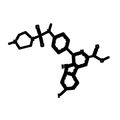 COC(=O)c1cc2c([nH]c3cc(F)ccc32)c(-c2ccc(N(C)S(=O)(=O)N3CCN(C)CC3)cc2)n1